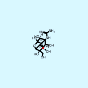 N=C(N)NC12C(O)C3OC(O)(OC([C@@H]1CO)[C@@]3(O)CO)[C@H]2O